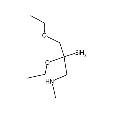 CCOCC([SiH3])(CNC)OCC